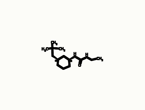 CCNC(=O)N[C@H]1CCC[C@@H](CC(C)(C)C)C1